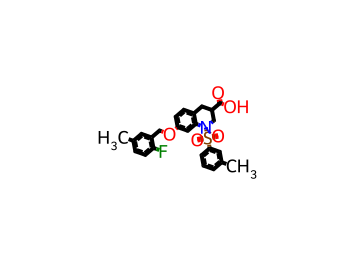 Cc1cccc(S(=O)(=O)N2CC(C(=O)O)Cc3ccc(OCc4cc(C)ccc4F)cc32)c1